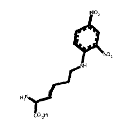 NC(CCCCNc1ccc([N+](=O)[O-])cc1[N+](=O)[O-])C(=O)O